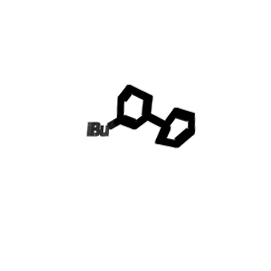 CCC(C)c1cccc(-c2ccccc2)c1